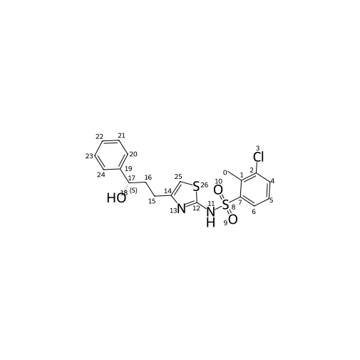 Cc1c(Cl)cccc1S(=O)(=O)Nc1nc(CC[C@H](O)c2ccccc2)cs1